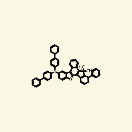 CC1(C)C2=C(C=CCC2c2ccccc2)c2c1c1ccccc1c1c2oc2ccc(N(c3ccc(-c4ccccc4)cc3)c3ccc(C4C=CC=CC4)cc3)cc21